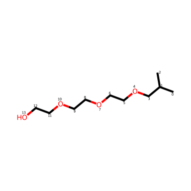 CC(C)COCCOCCOCCO